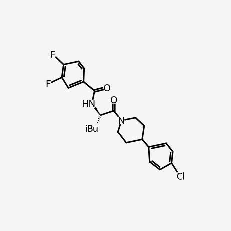 CC[C@@H](C)[C@@H](NC(=O)c1ccc(F)c(F)c1)C(=O)N1CCC(c2ccc(Cl)cc2)CC1